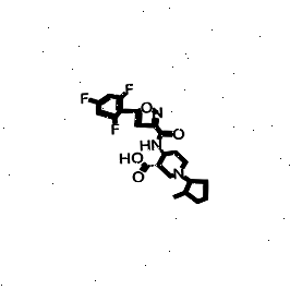 CC1CCCC1N1CC[C@H](NC(=O)c2cc(-c3c(F)cc(F)cc3F)on2)[C@@H](C(=O)O)C1